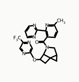 Cc1ccc(C(=O)N2CC3CC34CC(Oc3cnc(C(F)(F)F)cn3)C24)c(-c2ncccn2)n1